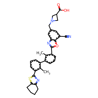 Cc1c(-c2nc3cc(CN4CC(C(=O)O)C4)cc(C#N)c3o2)cccc1-c1cccc(-c2nc3c(s2)CCCC3)c1C